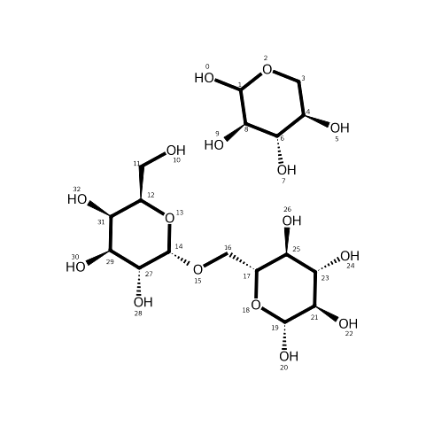 OC1OC[C@@H](O)[C@H](O)[C@H]1O.OC[C@H]1O[C@H](OC[C@H]2O[C@@H](O)[C@H](O)[C@@H](O)[C@@H]2O)[C@H](O)[C@@H](O)[C@H]1O